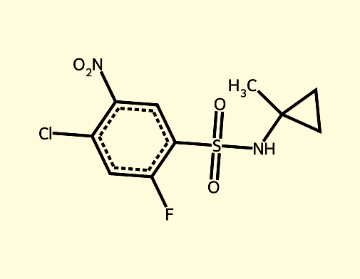 CC1(NS(=O)(=O)c2cc([N+](=O)[O-])c(Cl)cc2F)CC1